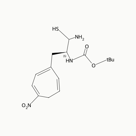 CC(C)(C)OC(=O)N[C@@H](CC1=CC=C([N+](=O)[O-])CC=C1)C(N)S